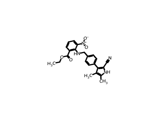 CCOC(=O)c1cccc([N+](=O)[O-])c1NCc1ccc(-c2c(C#N)[nH]c(C)c2C)cc1